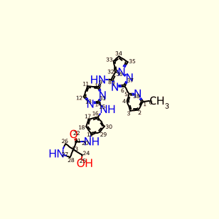 Cc1cccc(-c2nc(Nc3ccnc(Nc4ccc(NC(=O)C5(CO)CNC5)cc4)n3)c3cccn3n2)n1